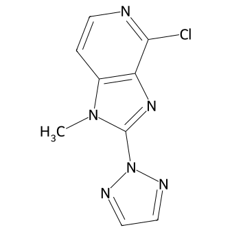 Cn1c(-n2nccn2)nc2c(Cl)nccc21